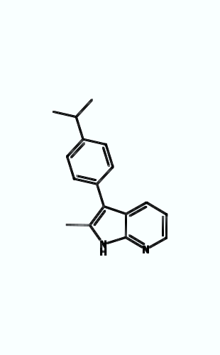 Cc1[nH]c2ncccc2c1-c1ccc(C(C)C)cc1